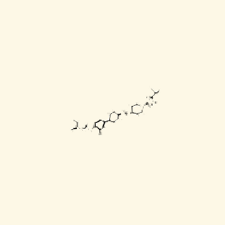 CC(CO)NC(=O)Nc1ccc(C2CCC(=NOC3CCN(c4nc(C(C)C)no4)CC3)CC2)cc1F